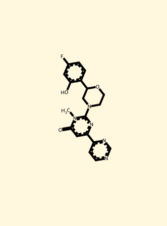 Cn1c(N2CCOC(c3ccc(F)cc3O)C2)nc(-c2ccncn2)cc1=O